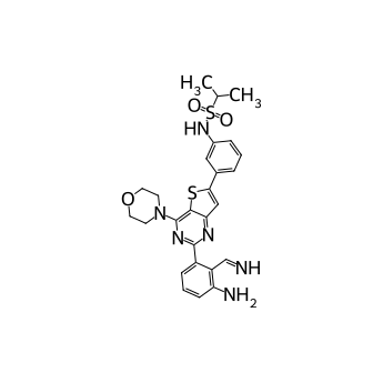 CC(C)S(=O)(=O)Nc1cccc(-c2cc3nc(-c4cccc(N)c4C=N)nc(N4CCOCC4)c3s2)c1